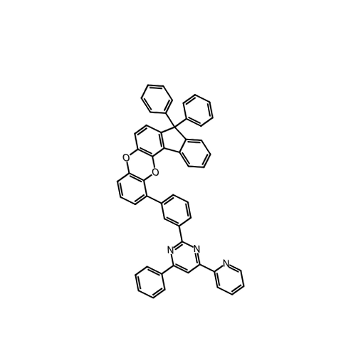 c1ccc(-c2cc(-c3ccccn3)nc(-c3cccc(-c4cccc5c4Oc4c(ccc6c4-c4ccccc4C6(c4ccccc4)c4ccccc4)O5)c3)n2)cc1